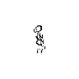 CC(C)Oc1ccc2cn(C3CCCCO3)nc2n1